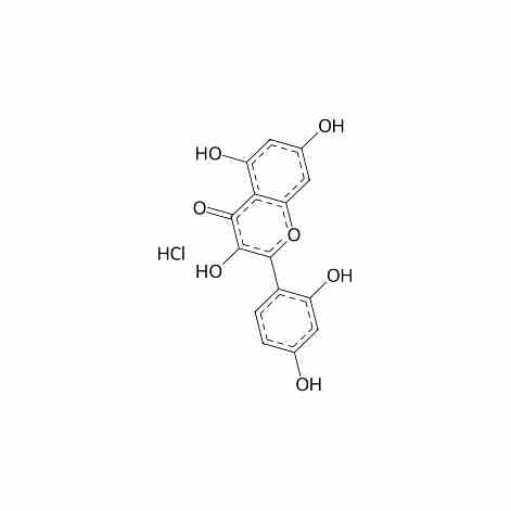 Cl.O=c1c(O)c(-c2ccc(O)cc2O)oc2cc(O)cc(O)c12